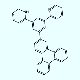 C1=CCNC(c2cc(-c3ccc4c5ccccc5c5ccccc5c4c3)cc(-c3ccccn3)c2)=C1